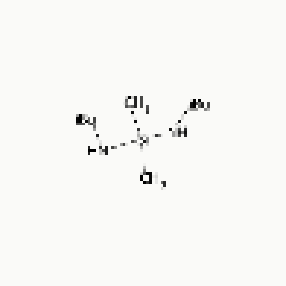 CCC(C)N[Si](C)(C)NC(C)CC